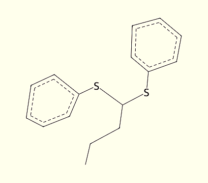 CCCC(Sc1ccccc1)Sc1ccccc1